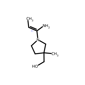 C/C=C(\N)N1CCC(C)(CO)C1